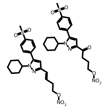 CS(=O)(=O)c1ccc(-c2cc(C(=O)CCCO[N+](=O)[O-])nn2C2CCCCC2)cc1.CS(=O)(=O)c1ccc(-c2cc(C=CCCO[N+](=O)[O-])nn2C2CCCCC2)cc1